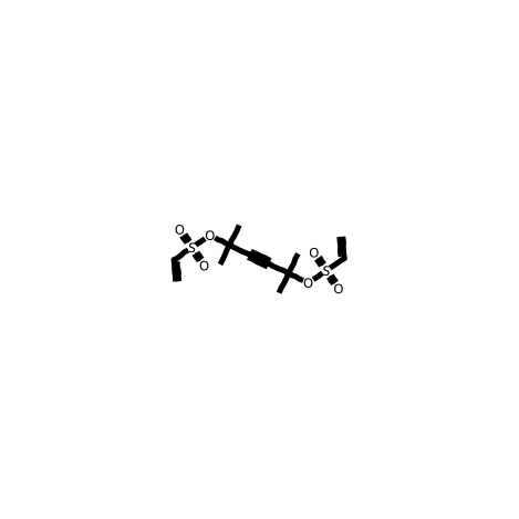 C=CS(=O)(=O)OC(C)(C)C#CC(C)(C)OS(=O)(=O)C=C